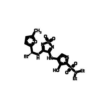 CC[C@@H](NC1=NS(=O)(=O)N=C1Nc1csc(S(=O)(=O)N(CC)CC)c1O)c1ccc(C)o1